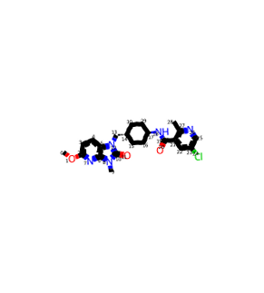 COc1ccc2c(n1)n(C)c(=O)n2C[C@H]1CC[C@H](NC(=O)c2cc(Cl)cnc2C)CC1